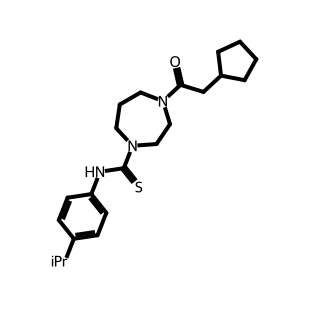 CC(C)c1ccc(NC(=S)N2CCCN(C(=O)CC3CCCC3)CC2)cc1